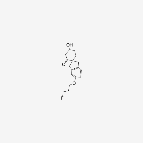 O=C1CC(O)CCC12Cc1ccc(OCCCF)cc1C2